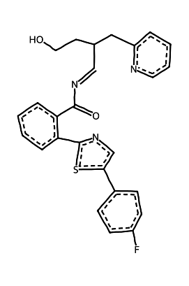 O=C(/N=C/C(CCO)Cc1ccccn1)c1ccccc1-c1ncc(-c2ccc(F)cc2)s1